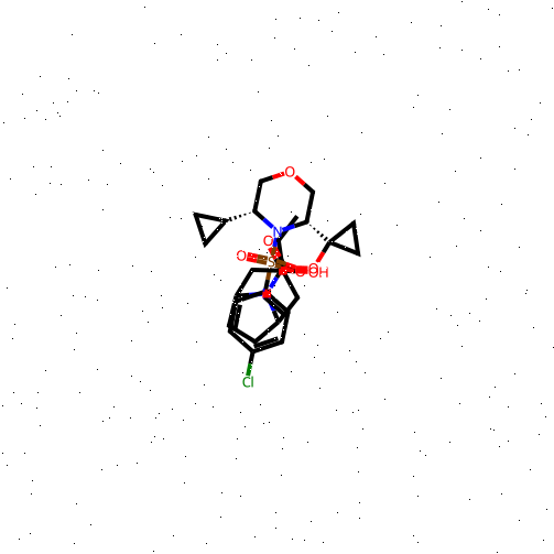 CCC1(O)CC2CCC(C1)N2C(=O)OC1([C@H]2COC[C@@H](C3CC3)N2S(=O)(=O)c2ccc(Cl)cc2)CC1